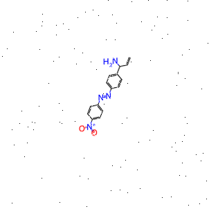 C=CC(N)c1ccc(/N=N/c2ccc([N+](=O)[O-])cc2)cc1